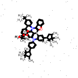 CC1CC(c2ccc(N3c4ccc(C5CC(C)C(C)(C)C5(C)C)cc4B4c5oc6ccccc6c5N(c5ccc(C(C)(C)C)cc5-c5ccc(C(C)(C)C)cc5)c5cc(C(C)(C)C)cc3c54)cc2)C(C)(C)C1(C)C